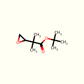 CC(C)(C)OC(=O)C(C)(C)C1CO1